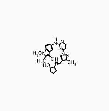 Cc1nn(-c2ccnc(Nc3ccc4c(c3)c(Cl)c(C)n4C)n2)cc1CN[C@H]1CCC[C@@H]1O